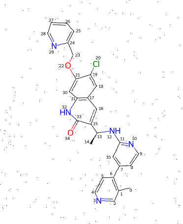 Cc1cnccc1-c1ccnc(N[C@@H](C)c2cc3cc(Cl)c(OCc4ccccn4)cc3[nH]c2=O)c1